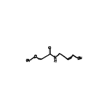 CC(C)OCC(=O)NCCCC(C)(C)C